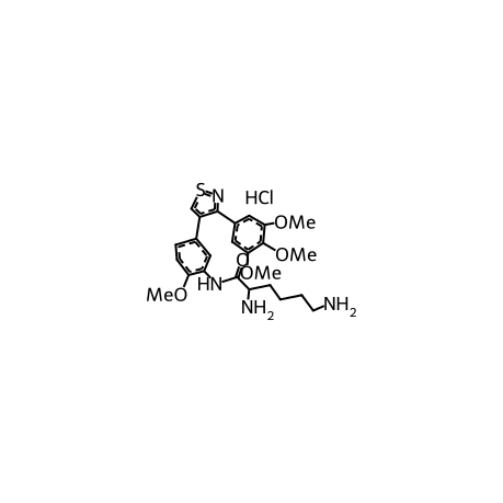 COc1ccc(-c2csnc2-c2cc(OC)c(OC)c(OC)c2)cc1NC(=O)C(N)CCCCN.Cl